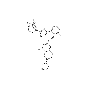 Cc1cc(COc2c(C)cccc2-c2csc(N3CC[C@@]4(C(=O)O)C[C@H]4C3)n2)cc2c1CN(C1CCOC1)CC2